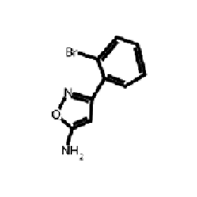 Nc1cc(-c2ccccc2Br)no1